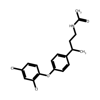 CC(=O)NCCC(C)c1ccc(Oc2ccc(Cl)cc2Cl)cc1